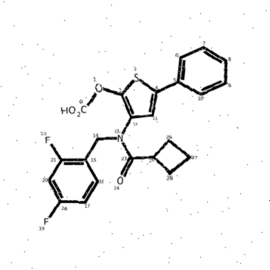 O=C(O)Oc1sc(-c2ccccc2)cc1N(Cc1ccc(F)cc1F)C(=O)C1CCC1